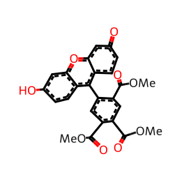 COC(=O)c1cc(C(=O)OC)c(-c2c3ccc(=O)cc-3oc3cc(O)ccc23)cc1C(=O)OC